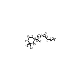 CC(C)CC1CC1OC(C)C1CCCC(C)(C)C1